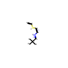 C=CS/C=C\N=C\C(C)(C)C